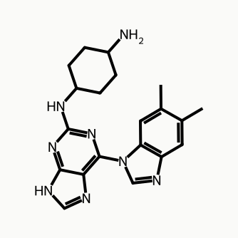 Cc1cc2ncn(-c3nc(NC4CCC(N)CC4)nc4[nH]cnc34)c2cc1C